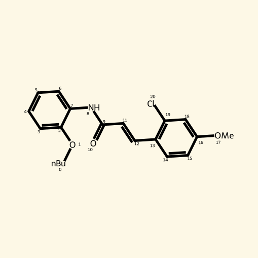 CCCCOc1ccccc1NC(=O)/C=C/c1ccc(OC)cc1Cl